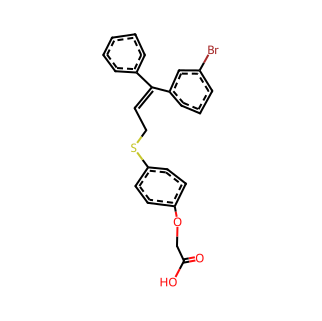 O=C(O)COc1ccc(SC/C=C(/c2ccccc2)c2cccc(Br)c2)cc1